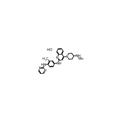 Cc1cc(Nc2cc(N3CCC(NC(C)(C)C)CC3)c3ccccc3n2)ccc1Nc1ncccn1.Cl